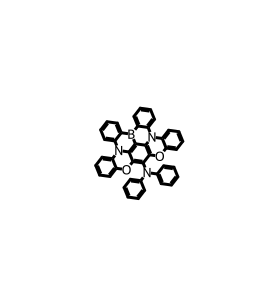 c1ccc(N(c2ccccc2)c2c3oc4ccccc4n4c3c3c5c2oc2ccccc2n5-c2ccccc2B3c2ccccc2-4)cc1